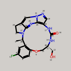 C[C@@H]1c2cc(F)ccc2OC[C@@H](CO)NC(=O)Nc2cnn3cc4c(nc23)N1CC4